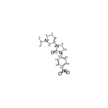 CC(C)N1CCC=C(N2CCN(c3ccc([N+](=O)[O-])cc3)C2=O)C1